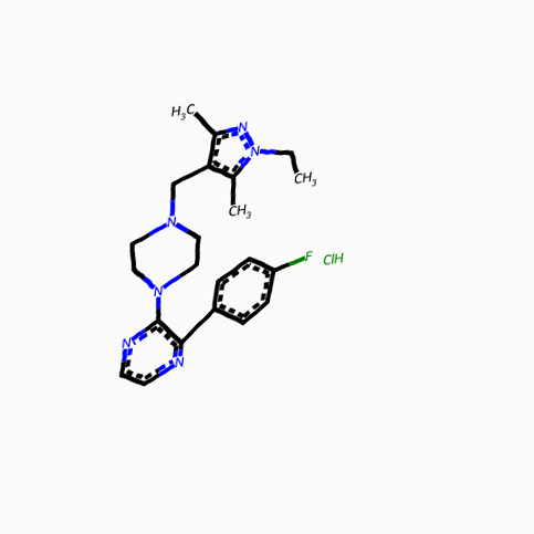 CCn1nc(C)c(CN2CCN(c3nccnc3-c3ccc(F)cc3)CC2)c1C.Cl